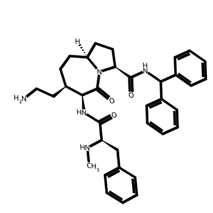 CN[C@H](Cc1ccccc1)C(=O)N[C@@H]1C(=O)N2[C@@H](CC[C@@H]1CCN)CC[C@H]2C(=O)NC(c1ccccc1)c1ccccc1